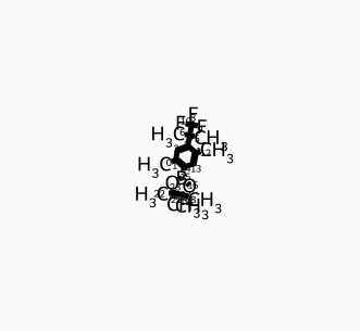 Cc1cc(C(C)(C)C(F)(F)F)c(C)cc1B1OC(C)(C)C(C)(C)O1